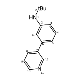 CC(C)(C)Nc1cccc(-c2cccnc2)c1